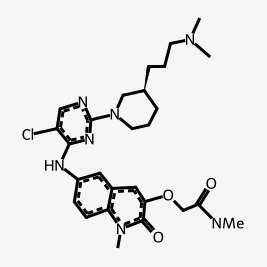 CNC(=O)COc1cc2cc(Nc3nc(N4CCC[C@H](CCCN(C)C)C4)ncc3Cl)ccc2n(C)c1=O